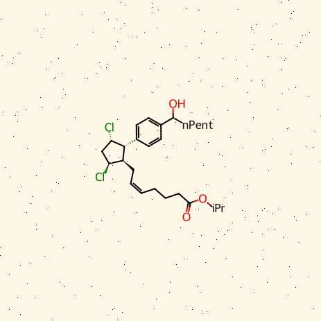 CCCCCC(O)c1ccc([C@@H]2[C@@H](C/C=C\CCCC(=O)OC(C)C)[C@@H](Cl)C[C@@H]2Cl)cc1